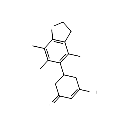 Cc1c(C)c(C2CC(=O)C=C(O)C2)c(C)c2c1OCC2